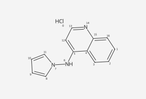 Cl.c1ccc2c(Nn3cccc3)ccnc2c1